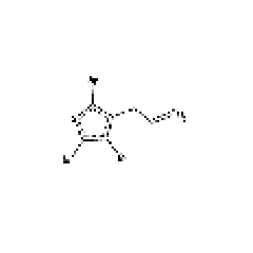 C=CCc1c(Br)sc(Br)c1Br